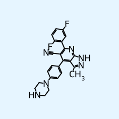 Cc1n[nH]c2nc(-c3cc(F)ccc3F)c(C#N)c(-c3ccc(N4CCNCC4)cc3)c12